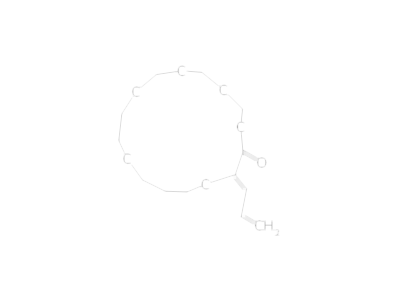 C=CC=C1CCCCCCCCCCCCCCC1=O